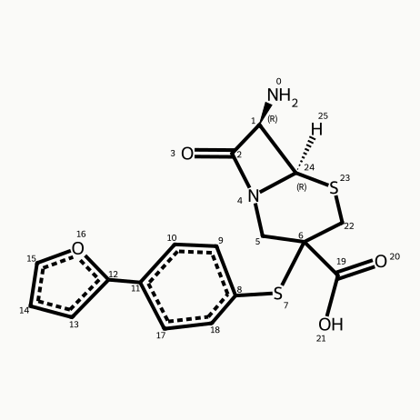 N[C@@H]1C(=O)N2CC(Sc3ccc(-c4ccco4)cc3)(C(=O)O)CS[C@H]12